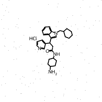 Cl.NC1CCC(NC(=O)CC(c2cccnc2)c2cn(CC3CCCCC3)c3ccccc23)CC1